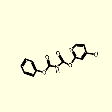 O=C(NC(=O)Oc1cc(Cl)ccn1)Oc1ccccc1